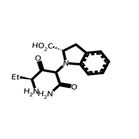 CC[C@H](N)C(=O)C(C(N)=O)N1c2ccccc2C[C@H]1C(=O)O